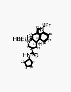 Br.CCN1C[C@H](C(=O)NC2CCCC2)C[C@@H]2c3cccc4c3c(cn4C(C)C)C[C@H]21